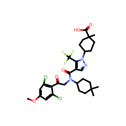 COc1cc(Cl)c(C(=O)CN(C(=O)c2cnn(C3CCC(C)(C(=O)O)CC3)c2C(F)(F)F)C2CCC(C)(C)CC2)c(Cl)c1